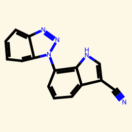 N#Cc1c[nH]c2c(-n3nnc4ccccc43)cccc12